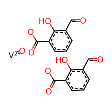 O=Cc1cccc(C(=O)[O-])c1O.O=Cc1cccc(C(=O)[O-])c1O.[O]=[V+2]